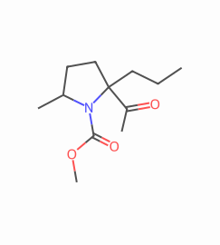 CCCC1(C(C)=O)CCC(C)N1C(=O)OC